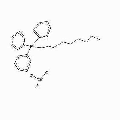 CCCCCCCCC[P+](c1ccccc1)(c1ccccc1)c1ccccc1.[Cl][Cu-]([Cl])[Cl]